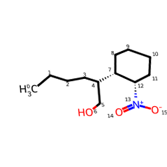 CCCCC(CO)[C@@H]1CCCC[C@@H]1[N+](=O)[O-]